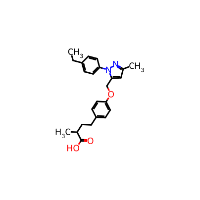 CCc1ccc(-n2nc(C)cc2COc2ccc(CCC(C)C(=O)O)cc2)cc1